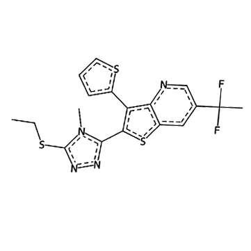 CCSc1nnc(-c2sc3cc(C(C)(F)F)cnc3c2-c2cccs2)n1C